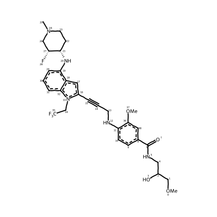 COCC(O)CNC(=O)c1ccc(NCC#Cc2cc3c(N[C@H]4CCN(C)C[C@H]4F)cccc3n2CC(F)(F)F)c(OC)c1